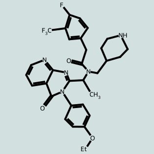 CCOc1ccc(-n2c(C(C)N(CC3CCNCC3)C(=O)Cc3ccc(F)c(C(F)(F)F)c3)nc3ncccc3c2=O)cc1